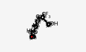 O=C(NS(=O)(=O)CC12CC3CC(CC(C3)C1)C2)c1ccc(N2CCN(C(=O)c3cc(C#Cc4cccc(O)c4)cc(C(F)(F)F)c3)CC2)nn1